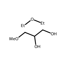 CCOCC.COCC(O)CO